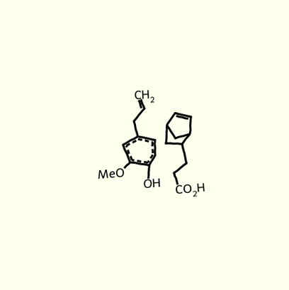 C=CCc1ccc(O)c(OC)c1.O=C(O)CCC1CC2C=CC1C2